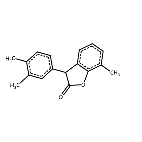 Cc1ccc(C2C(=O)Oc3c(C)cccc32)cc1C